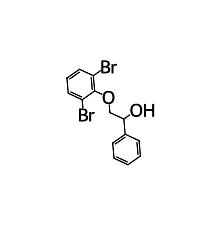 OC(COc1c(Br)cccc1Br)c1ccccc1